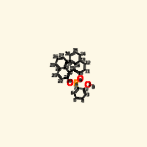 COc1ccccc1-p1oc2ccc3ccccc3c2c2c(ccc3ccccc32)o1